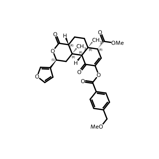 COCc1ccc(C(=O)OC2=C[C@@H](C(=O)OC)[C@]3(C)CC[C@H]4C(=O)O[C@H](c5ccoc5)C[C@]4(C)[C@H]3C2=O)cc1